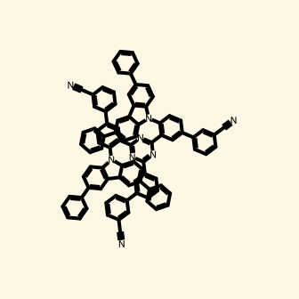 N#Cc1cccc(-c2cccc(-c3nc(-c4cc(-c5cccc(C#N)c5)ccc4-n4c5ccc(-c6ccccc6)cc5c5cc(-c6ccccc6)ccc54)nc(-c4cc(-c5cccc(C#N)c5)ccc4-n4c5ccc(-c6ccccc6)cc5c5cc(-c6ccccc6)ccc54)n3)c2)c1